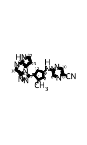 C[C@H]1C[C@@H](Nc2cnc(C#N)cn2)C[C@H]1c1nnc2cnc3[nH]ccc3n12